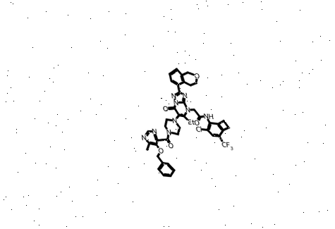 CCc1c(N2CCN(C(=O)c3ncnc(C)c3OCc3ccccc3)CC2)c(=O)n2nc(-c3cccc4c3CCOC4)nc2n1CC(=O)Nc1c(Cl)cc(C(F)(F)F)c2c1CC2